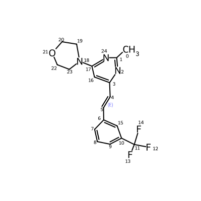 Cc1nc(/C=C/c2cccc(C(F)(F)F)c2)cc(N2CCOCC2)n1